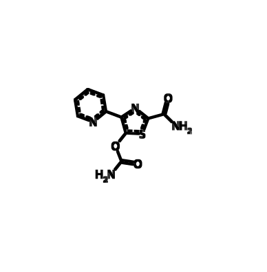 NC(=O)Oc1sc(C(N)=O)nc1-c1ccccn1